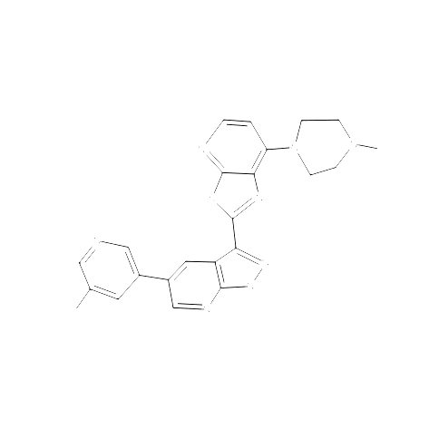 CN1CCN(c2ccnc3[nH]c(-c4n[nH]c5ncc(-c6cncc(O)c6)cc45)nc23)CC1